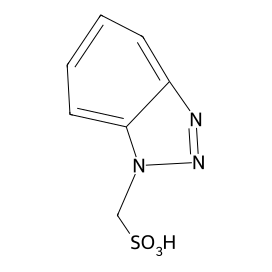 O=S(=O)(O)Cn1nnc2ccccc21